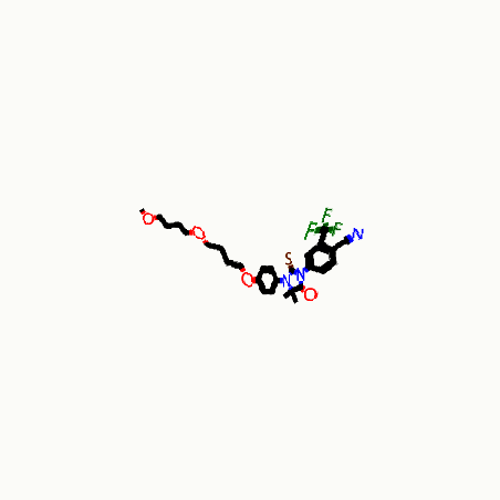 COCCCCOCCCCOc1ccc(N2C(=S)N(c3ccc(C#N)c(C(F)(F)F)c3)C(=O)C2(C)C)cc1